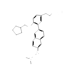 CN(C)S(=O)(=O)Nc1ccc2cc(-c3cc(CCC(=O)O)ccc3OCC3CCCC3)ccc2c1